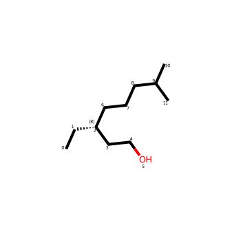 CC[C@@H](CCO)CCCC(C)C